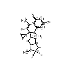 CC1=C(F)C(C2CC2)(N2CC3CC(F)(F)C(O)C3C2)C(C)c2[nH]c(=O)[nH]c(=O)c21